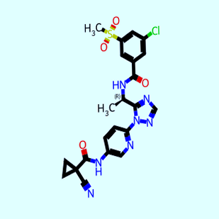 C[C@@H](NC(=O)c1cc(Cl)cc(S(C)(=O)=O)c1)c1ncnn1-c1ccc(NC(=O)C2(C#N)CC2)cn1